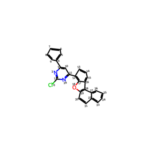 Clc1nc(-c2ccccc2)cc(-c2cccc3c2oc2ccc4ccccc4c23)n1